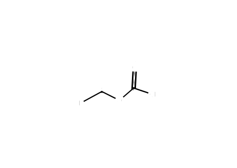 CC(=O)O[CH]F